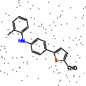 Cc1ccccc1Nc1ccc(-c2ccc(C=O)s2)cc1